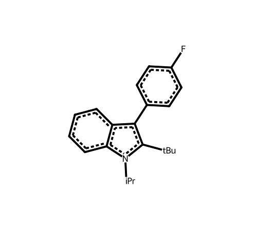 CC(C)n1c(C(C)(C)C)c(-c2ccc(F)cc2)c2ccccc21